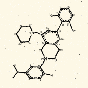 Cc1ccc(C(C)C)cc1N1CCc2nc(-c3c(C)cccc3C)cc(N3CCCCC3)c2C1